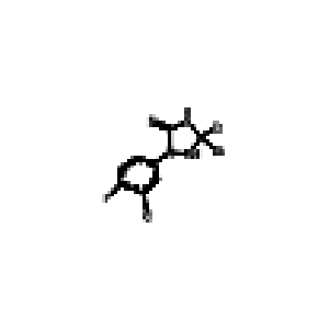 CCC1(CC)NC(=S)N(c2ccc(F)c(Cl)c2)N1